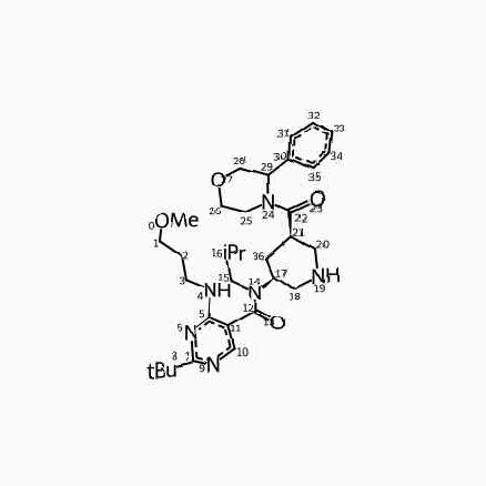 COCCCNc1nc(C(C)(C)C)ncc1C(=O)N(CC(C)C)[C@@H]1CNC[C@H](C(=O)N2CCOCC2c2ccccc2)C1